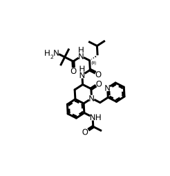 CC(=O)Nc1cccc2c1N(Cc1ccccn1)C(=O)C(NC(=O)[C@@H](CC(C)C)NC(=O)C(C)(C)N)C2